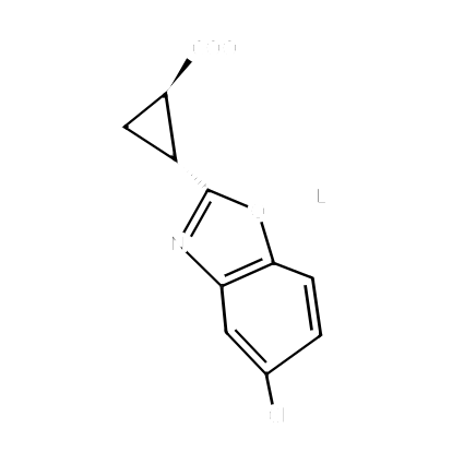 O=C([O-])[C@@H]1C[C@H]1c1nc2cc(Cl)ccc2o1.[Li+]